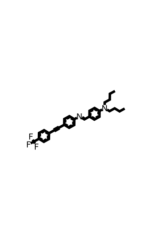 CCCCN(CCCC)c1ccc(C=Nc2ccc(C#Cc3ccc(C(F)(F)F)cc3)cc2)cc1